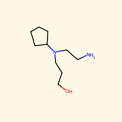 NCCN(CCCO)C1CCCC1